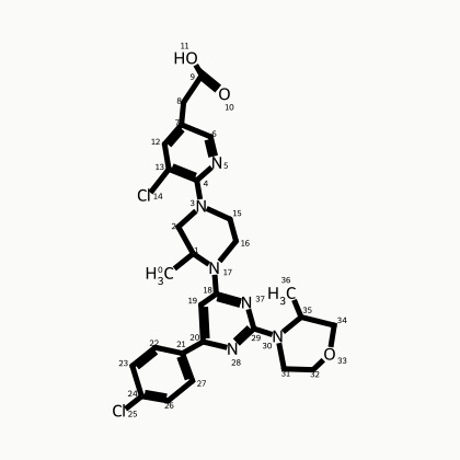 CC1CN(c2ncc(CC(=O)O)cc2Cl)CCN1c1cc(-c2ccc(Cl)cc2)nc(N2CCOCC2C)n1